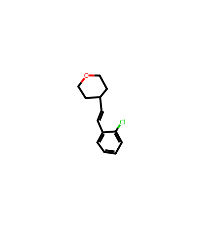 Clc1ccccc1C=CC1CCOCC1